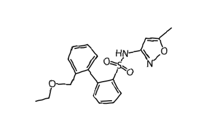 CCOCc1ccccc1-c1ccccc1S(=O)(=O)Nc1cc(C)on1